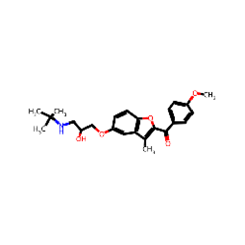 COc1ccc(C(=O)c2oc3ccc(OCC(O)CNC(C)(C)C)cc3c2C)cc1